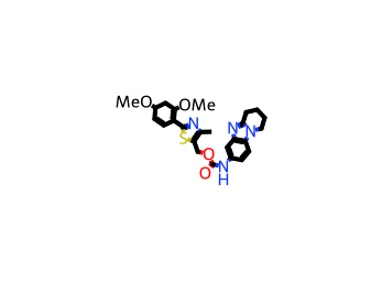 COC1=C(c2nc(C)c(COC(=O)Nc3ccc4c(c3)nc3n4CCCC3)s2)C=CC(OC)C1